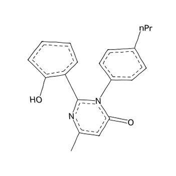 CCCc1ccc(-n2c(-c3ccccc3O)nc(C)cc2=O)cc1